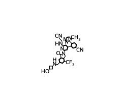 Cn1cnnc1-c1ccc(C#N)cc1-c1cc(NCCC#N)nc(N2Cc3c(cc(CN[C@H]4C[C@@H](O)C4)cc3C(F)(F)F)C2=O)c1